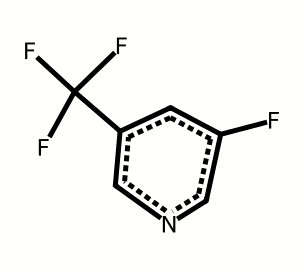 Fc1cncc(C(F)(F)F)c1